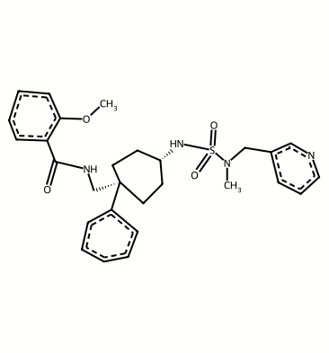 COc1ccccc1C(=O)NC[C@]1(c2ccccc2)CC[C@H](NS(=O)(=O)N(C)Cc2cccnc2)CC1